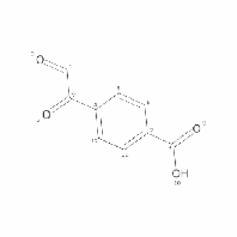 O=CC(=O)c1ccc(C(=O)O)cc1